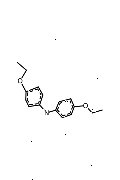 CCOc1ccc([N]c2ccc(OCC)cc2)cc1